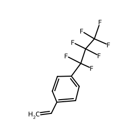 C=Cc1ccc(C(F)(F)C(F)(F)C(F)(F)F)cc1